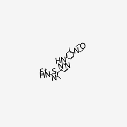 CCNc1nc(C)c(-c2ccnc(Nc3ccc(N4CCOCC4)c(C)c3)n2)s1